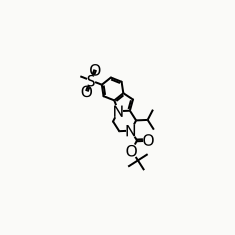 CC(C)C1c2cc3ccc(S(C)(=O)=O)cc3n2CCN1C(=O)OC(C)(C)C